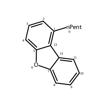 CCCCCc1cccc2oc3ccccc3c12